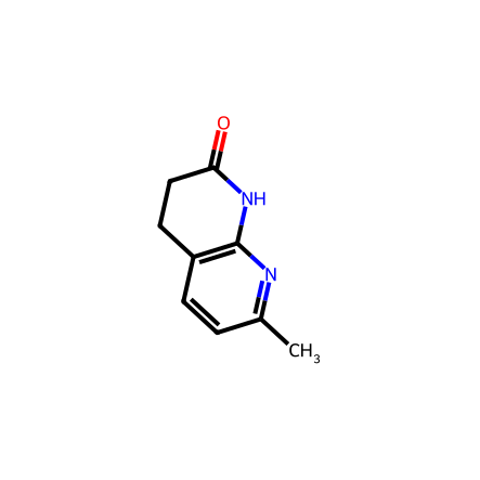 Cc1ccc2c(n1)NC(=O)CC2